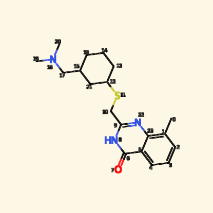 Cc1cccc2c(=O)[nH]c(CSC3CCCC(CN(C)C)C3)nc12